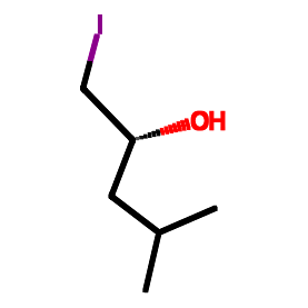 CC(C)C[C@@H](O)CI